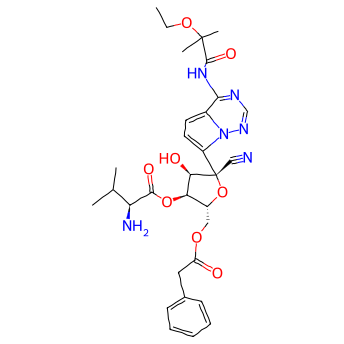 CCOC(C)(C)C(=O)Nc1ncnn2c([C@]3(C#N)O[C@H](COC(=O)Cc4ccccc4)[C@@H](OC(=O)[C@@H](N)C(C)C)[C@H]3O)ccc12